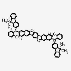 Cc1ccccc1N(c1ccc2c(c1)C(C)(C)c1ccccc1-2)c1ccc2cc3c(cc2c1)oc1cc2c(cc13)oc1cc3cc(N(c4ccc5c(c4)C(C)(C)c4ccccc4-5)c4ccccc4C)ccc3cc12